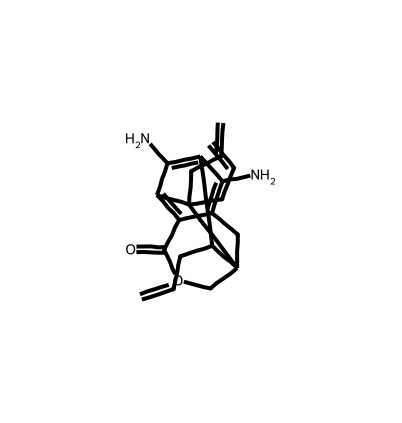 C=CCC1c2c(N)c3c4c(c2N)C(CC=C)(CC=C)C1(COC4=O)C3